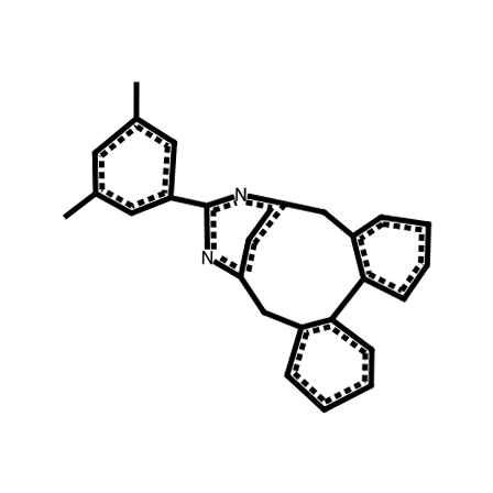 Cc1cc(C)cc(-c2nc3cc(n2)Cc2ccccc2-c2ccccc2C3)c1